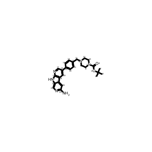 CC(C)(C)OC(=O)N1CCN(Cc2ccc(-c3cnc4[nH]c5cnc(N)cc5c4c3)cc2)CC1